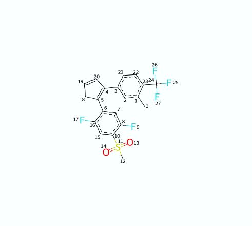 Cc1cc(C2=C(c3cc(F)c(S(C)(=O)=O)cc3F)CC=C2)ccc1C(F)(F)F